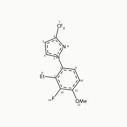 CCc1c(-n2ccc(C(F)(F)F)n2)ccc(OC)c1F